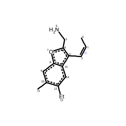 C/C=C\c1c(CN)oc2cc(C)c(CC)cc12